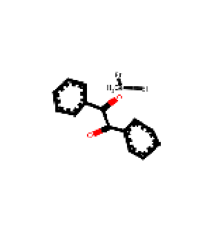 C[CH2][GeH2][CH2]C.O=C(C(=O)c1ccccc1)c1ccccc1